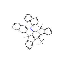 CC(C)(C)c1c2c(c(N(c3ccc4ccccc4c3)c3cccc4ccccc34)c3c1-c1ccccc1C3(C)C)C(C)(C)c1ccccc1-2